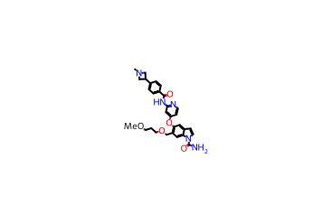 COCCCOCc1cc2c(ccn2C(N)=O)cc1Oc1ccnc(NC(=O)c2ccc(C3CN(C)C3)cc2)c1